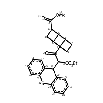 CCOC(=O)C(C(=O)C12C3C4C1C1C2C3C41C(=O)OC)C1c2ccccc2Sc2ccccc21